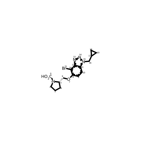 O=C(O)N1CCC[C@H]1COc1ccc2c(nnn2CC2CC2)c1Br